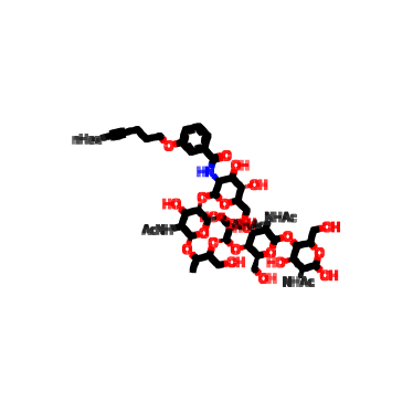 CCCCCCC#CCCCOc1cccc(C(=O)N[C@@H]2C(O[C@H]3C(O)C(NC(C)=O)[C@H](OC(C)C(CO)O[C@@H](O[C@H]4C(O)C(NC(C)=O)C(OC5C(CO)OC(O)[C@@H](NC(C)=O)[C@H]5O)O[C@H]4CO)[C@H](CO)NC(C)=O)O[C@H]3CO)OC(CO)[C@@H](O)C2O)c1